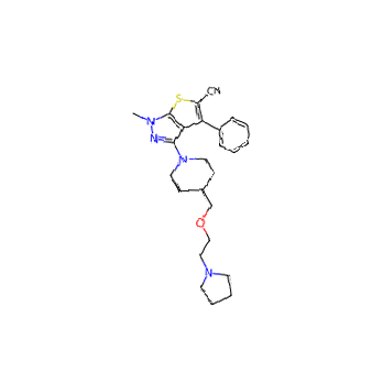 Cn1nc(N2CCC(COCCN3CCCC3)CC2)c2c(-c3ccccc3)c(C#N)sc21